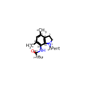 CCCCCN1CCc2c(C)cc(C)c(NC(=O)C(C)(C)C)c21